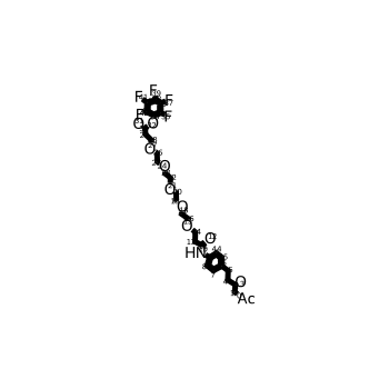 CC(=O)CC(=O)CCc1ccc(NC(=O)CCOCCOCCOCCOCCOCCC(=O)Oc2c(F)c(F)c(F)c(F)c2F)cc1